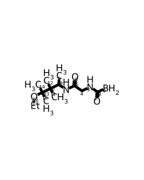 BC(=O)NCC(=O)NC(C)C(C)(C)C(C)(C)OCC